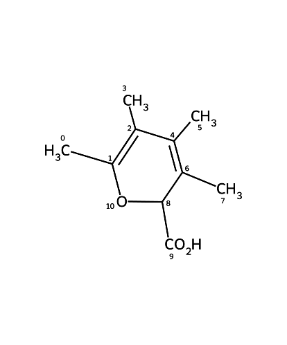 CC1=C(C)C(C)=C(C)C(C(=O)O)O1